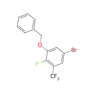 Fc1c(OCc2ccccc2)cc(Br)cc1C(F)(F)F